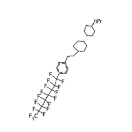 CCC[C@H]1CC[C@H](C2CCC(CCc3ccc(C(F)(F)C(F)(F)C(F)(F)C(F)(F)C(F)(F)C(F)(F)C(F)(F)C(F)(F)F)cc3)CC2)CC1